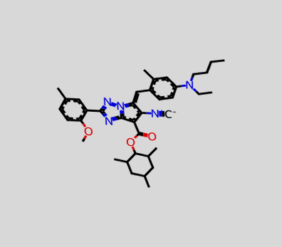 [C-]#[N+]c1c(C(=O)OC2C(C)CC(C)CC2C)c2nc(-c3cc(C)ccc3OC)nn2/c1=C/c1ccc(N(CC)CCCC)cc1C